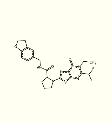 CCn1c(C(F)F)nc2sc(N3CCCC3C(=O)NCc3ccc4c(c3)CCO4)nc2c1=O